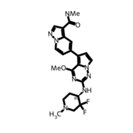 CNC(=O)c1cnn2ccc(-c3ccn4nc(N[C@@H]5CCN(C)CC5(F)F)nc(OC)c34)cc12